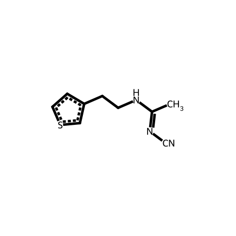 CC(=NC#N)NCCc1ccsc1